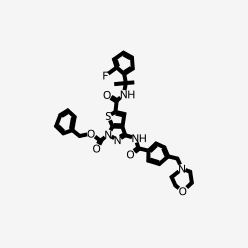 CC(C)(NC(=O)c1cc2c(NC(=O)c3ccc(CN4CCOCC4)cc3)nn(C(=O)OCc3ccccc3)c2s1)c1ccccc1F